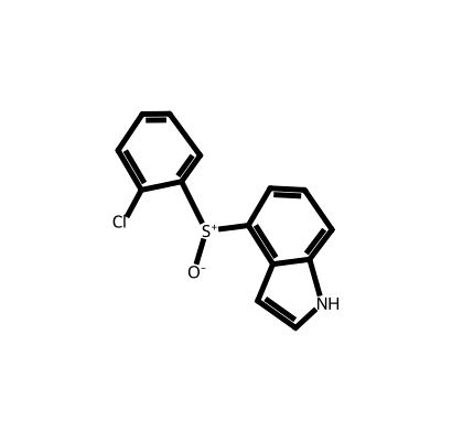 [O-][S+](c1ccccc1Cl)c1cccc2[nH]ccc12